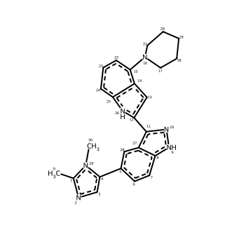 Cc1ncc(-c2ccc3[nH]nc(-c4cc5c(N6CCCCC6)cccc5[nH]4)c3c2)n1C